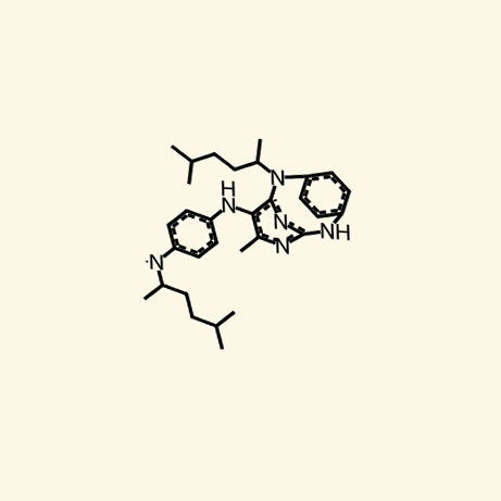 Cc1nc2nc(c1Nc1ccc([N]C(C)CCC(C)C)cc1)N(C(C)CCC(C)C)c1ccc(cc1)N2